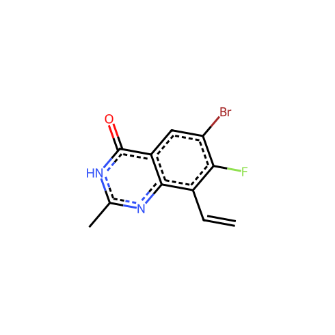 C=Cc1c(F)c(Br)cc2c(=O)[nH]c(C)nc12